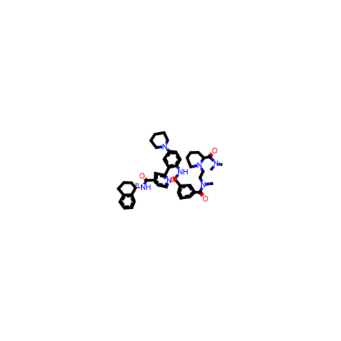 CN(C)C(=O)C1CCCCN1CCN(C)C(=O)c1cccc(C(=O)Nc2ccc(N3CCCCC3)cc2-c2cc(C(=O)N[C@H]3CCCc4ccccc43)ccn2)c1